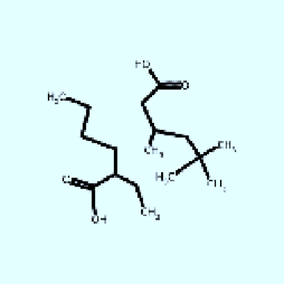 CC(CC(=O)O)CC(C)(C)C.CCCCC(CC)C(=O)O